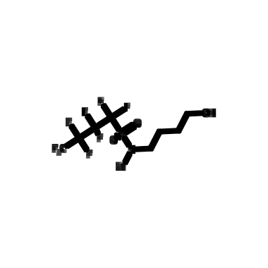 CCN(CCCCO)S(=O)(=O)C(F)(F)C(F)(F)C(F)(F)C(F)(F)F